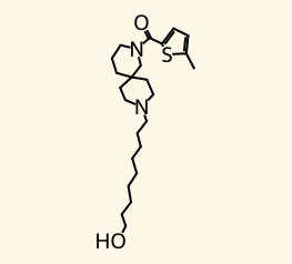 Cc1ccc(C(=O)N2CCCC3(CCN(CCCCCCCCCO)CC3)C2)s1